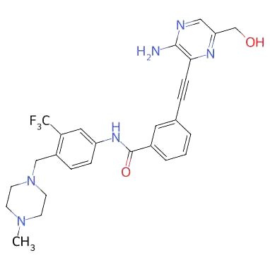 CN1CCN(Cc2ccc(NC(=O)c3cccc(C#Cc4nc(CO)cnc4N)c3)cc2C(F)(F)F)CC1